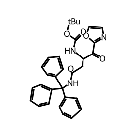 CC(C)(C)OC(=O)N[C@H](CC(=O)NC(c1ccccc1)(c1ccccc1)c1ccccc1)C(=O)c1ncco1